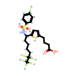 O=C(O)CCCc1ccc(C(CCCCC(F)(F)C(F)(F)F)NS(=O)(=O)c2ccc(F)cc2)s1